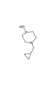 OP1CCN(CC2CC2)CC1